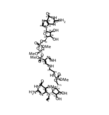 C=CN(c1nc(N)[nH]c(=O)c1NC)[C@@H]1O[C@H](COP(=O)(NCCN/C=C(\N=N)P(=O)(OC)OP(=O)(OC)OP(=O)(OC)OC[C@H]2O[C@@H](n3cnc4c(=O)[nH]c(N)nc43)C(O)C2O)OC)C(O)C1O